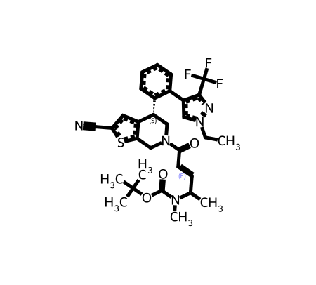 CCn1cc(-c2ccccc2[C@@H]2CN(C(=O)/C=C/C(C)N(C)C(=O)OC(C)(C)C)Cc3sc(C#N)cc32)c(C(F)(F)F)n1